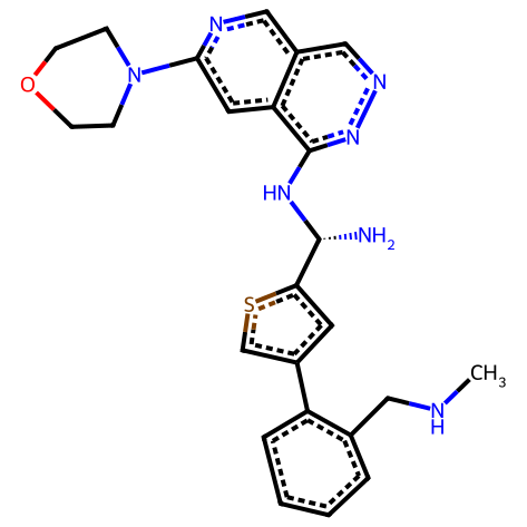 CNCc1ccccc1-c1csc([C@@H](N)Nc2nncc3cnc(N4CCOCC4)cc23)c1